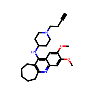 C#CCCN1CCC(Nc2c3c(nc4cc(OC)c(OC)cc24)CCCCC3)CC1